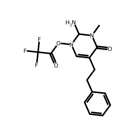 CN1C(=O)C(CCc2ccccc2)=CN(OC(=O)C(F)(F)F)C1N